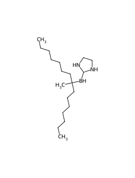 CCCCCCCC(C)(BC1NCCN1)CCCCCCC